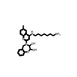 Cc1ccc2nc(N3Cc4ccccc4SC(O)C3O)cc(NCCCCCCCN)c2c1